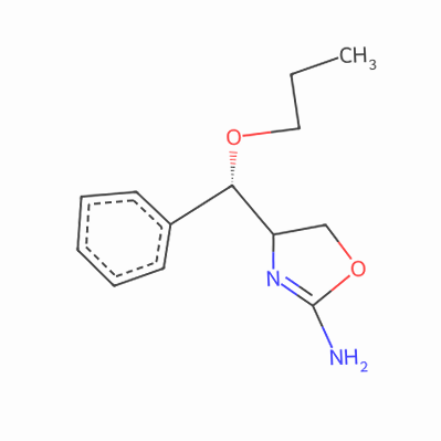 CCCO[C@@H](c1ccccc1)C1COC(N)=N1